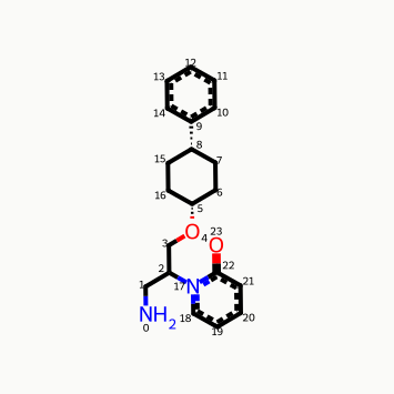 NCC(CO[C@H]1CC[C@@H](c2ccccc2)CC1)n1ccccc1=O